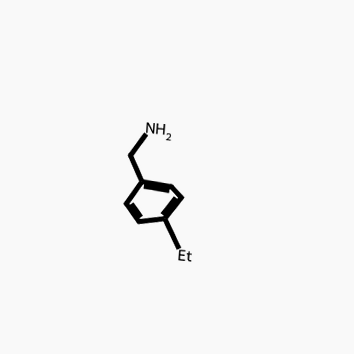 [CH2]Cc1ccc(CN)cc1